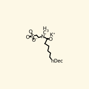 CCCCCCCCCCCCCCCC(=O)N(C)CCS(=O)(=O)[O-].[K+]